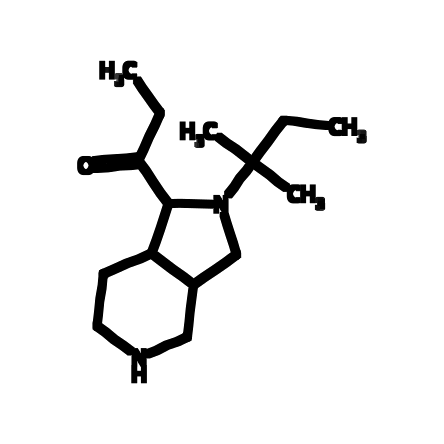 CCC(=O)C1C2CCNCC2CN1C(C)(C)CC